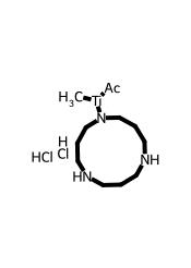 C[C](=O)[Ti]([CH3])[N]1CCCNCCCNCCC1.Cl.Cl